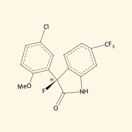 COc1ccc(Cl)cc1[C@@]1(F)C(=O)Nc2cc(C(F)(F)F)ccc21